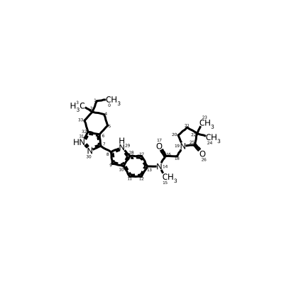 CCC1(C)CCc2c(-c3cc4ccc(N(C)C(=O)CN5CCC(C)(C)C5=O)cc4[nH]3)n[nH]c2C1